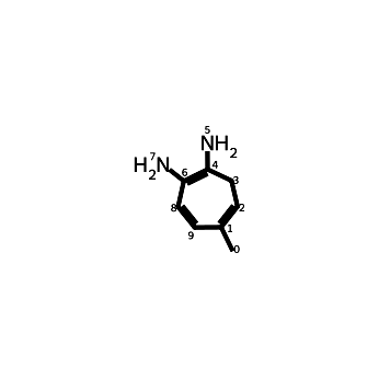 CC1=CCC(N)=C(N)C=C1